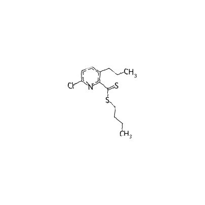 CCCCSC(=S)c1nc(Cl)ccc1CCC